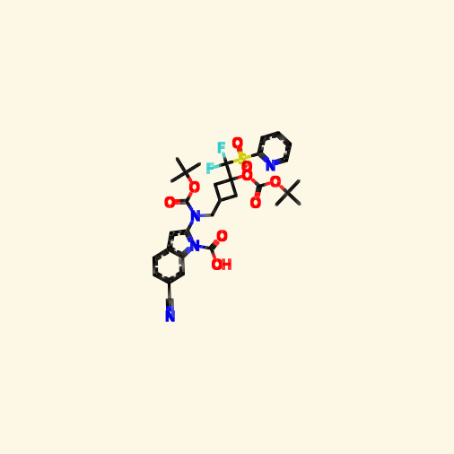 CC(C)(C)OC(=O)OC1(C(F)(F)S(=O)(=O)c2ccccn2)CC(CN(C(=O)OC(C)(C)C)c2cc3ccc(C#N)cc3n2C(=O)O)C1